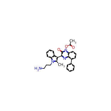 CC(=O)On1c(=O)c(-c2c(C)n(CCCN)c3ccccc23)nc2c(-c3ccccc3)cccc21